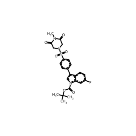 CN1C(=O)CN(S(=O)(=O)c2ccc(-c3cn(C(=O)OC(C)(C)C)c4cc(F)ccc34)cc2)CC1=O